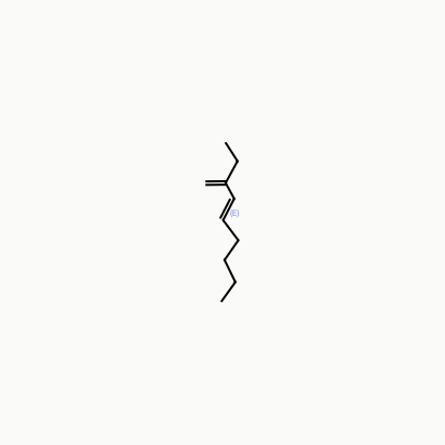 C=C(/C=C/CCCC)CC